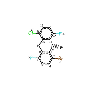 CNc1c(Br)ccc(F)c1Cc1cc(F)ccc1Cl